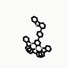 c1ccc2c(c1)sc1c(-c3ccc(-c4cc(-n5c6ccccc6c6ccccc65)c(-n5c6ccccc6c6ccccc65)c(-n5c6ccccc6c6ccccc65)c4)cc3)cccc12